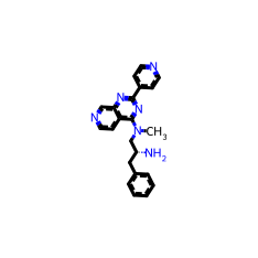 CN(C[C@H](N)Cc1ccccc1)c1nc(-c2ccncc2)nc2cnccc12